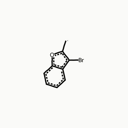 [CH2]c1oc2ccccc2c1Br